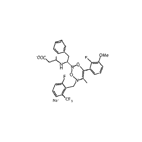 COc1cccc(-c2on(C(Cc3ccccc3)NC(C)CC(=O)[O-])on(Cc3c(F)cccc3C(F)(F)F)c2C)c1F.[Na+]